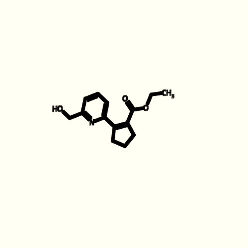 CCOC(=O)C1=C(c2cccc(CO)n2)CCC1